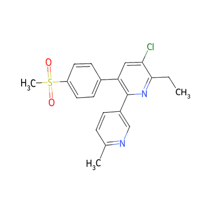 CCc1nc(-c2ccc(C)nc2)c(-c2ccc(S(C)(=O)=O)cc2)cc1Cl